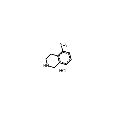 Cl.O=[N+]([O-])c1cccc2c1CCNC2